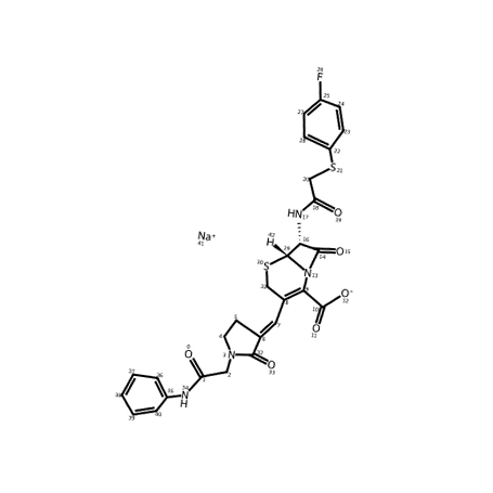 O=C(CN1CC/C(=C\C2=C(C(=O)[O-])N3C(=O)[C@@H](NC(=O)CSc4ccc(F)cc4)[C@H]3SC2)C1=O)Nc1ccccc1.[Na+]